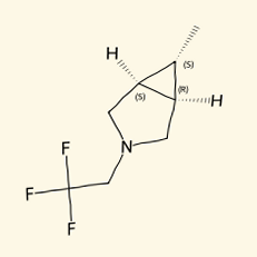 C[C@@H]1[C@H]2CN(CC(F)(F)F)C[C@@H]12